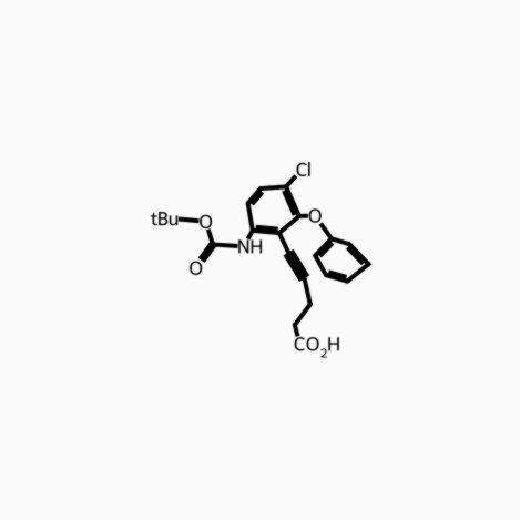 CC(C)(C)OC(=O)Nc1ccc(Cl)c(Oc2ccccc2)c1C#CCCC(=O)O